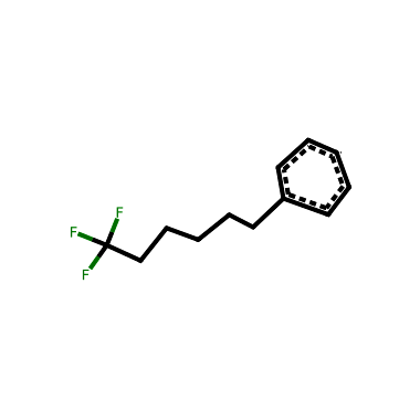 FC(F)(F)CCCCCc1cc[c]cc1